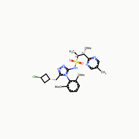 COc1cccc(OC)c1-n1c(C[C@H]2C[C@H](Cl)C2)nnc1NS(=O)(=O)[C@@H](C)[C@H](OC)c1ncc(C)cn1